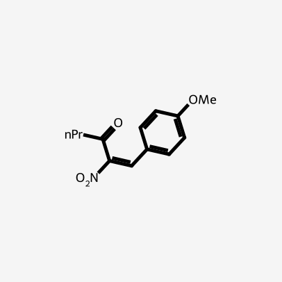 CCCC(=O)C(=Cc1ccc(OC)cc1)[N+](=O)[O-]